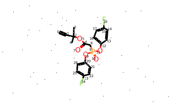 C#CC(C)(C)OC(=O)CP(=O)(Oc1ccc(F)cc1)Oc1ccc(F)cc1